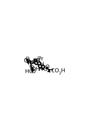 CC(C)[C@@H]1CC[C@]2(NC[C@H]([C@@H](C)OCP(=O)(O)O)N3CCS(=O)(=O)CC3)CC[C@]3(C)[C@H](CC[C@@H]4[C@@]5(C)CC[C@H](OC(=O)[C@H]6[C@@H](CC(=O)O)C6(C)C)C(C)(C)[C@@H]5CC[C@]43C)[C@@H]12